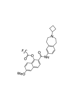 COc1ccc2c(OC(=O)C(F)(F)F)c(C(=O)Nc3ccc4c(c3)CCN(C3CCC3)CC4)ccc2c1